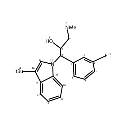 CNCC(O)C(c1cccc(F)c1)n1cc(C(C)(C)C)c2ccccc21